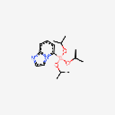 CC(C)O[B-](OC(C)C)(OC(C)C)c1cccc2nccn12